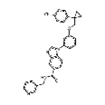 O=C(NCc1cccnc1)c1ccc2c(c1)ncn2-c1cccc(OCC2(c3ccc(Cl)cc3)CC2)c1